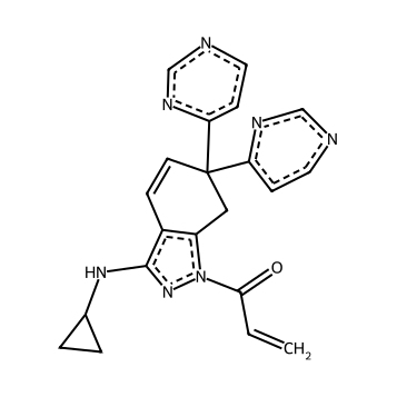 C=CC(=O)n1nc(NC2CC2)c2c1CC(c1ccncn1)(c1ccncn1)C=C2